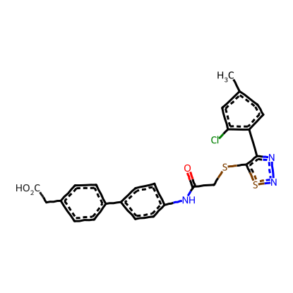 Cc1ccc(-c2nnsc2SCC(=O)Nc2ccc(-c3ccc(CC(=O)O)cc3)cc2)c(Cl)c1